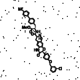 COC(=O)[C@H](Cc1ccc(-c2ccc(C#N)cc2)cc1)NC(=O)C1Cc2cc3c(cc2CN1)O[C@@H](c1ccc(OCc2cccc(Cl)c2)cc1)C(=O)N3